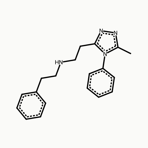 Cc1nnc(CCNCCc2ccccc2)n1-c1ccccc1